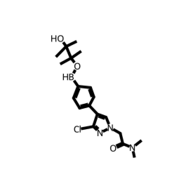 CN(C)C(=O)Cn1cc(-c2ccc(BOC(C)(C)C(C)(C)O)cc2)c(Cl)n1